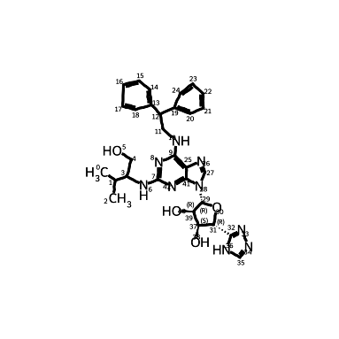 CC(C)C(CO)Nc1nc(NCC(c2ccccc2)c2ccccc2)c2ncn([C@@H]3O[C@H](c4nnc[nH]4)[C@@H](O)[C@H]3O)c2n1